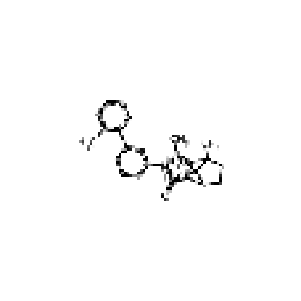 Cc1ccccc1-c1cccc(-n2c(=O)c3c(n2C)C2(C)CCC3C2(C)C)c1